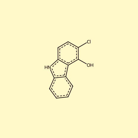 Oc1c(Cl)ccc2[nH]c3ccccc3c12